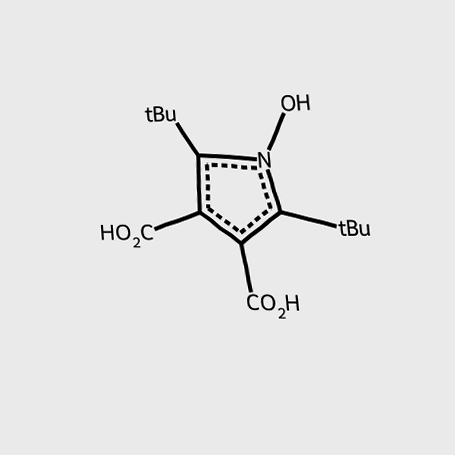 CC(C)(C)c1c(C(=O)O)c(C(=O)O)c(C(C)(C)C)n1O